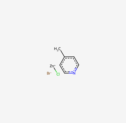 Cc1ccncc1.[Br-].[Cl][Zn+]